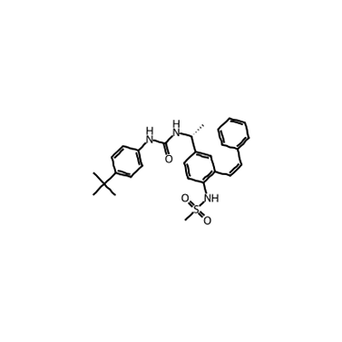 C[C@@H](NC(=O)Nc1ccc(C(C)(C)C)cc1)c1ccc(NS(C)(=O)=O)c(/C=C\c2ccccc2)c1